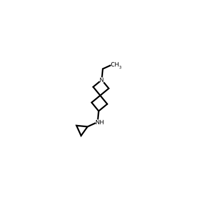 CCN1CC2(CC(NC3CC3)C2)C1